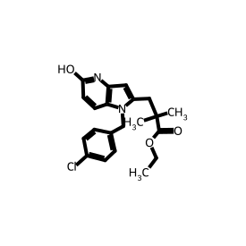 CCOC(=O)C(C)(C)Cc1cc2nc(O)ccc2n1Cc1ccc(Cl)cc1